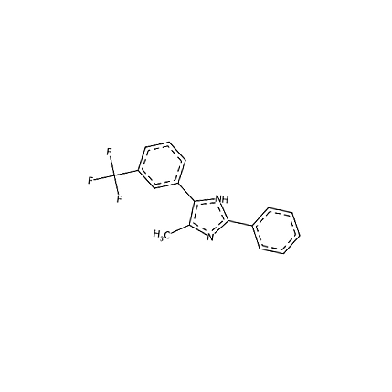 Cc1nc(-c2ccccc2)[nH]c1-c1cccc(C(F)(F)F)c1